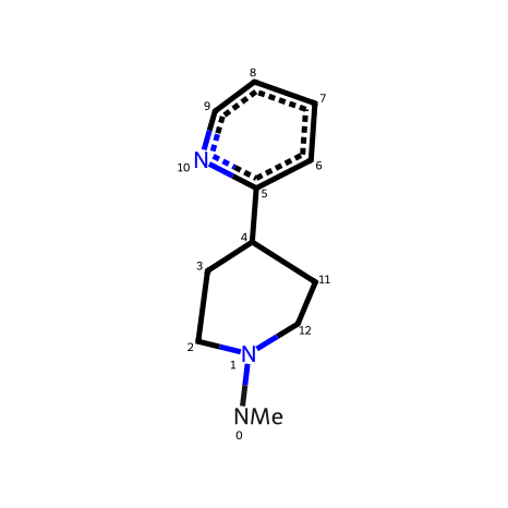 CNN1CCC(c2ccccn2)CC1